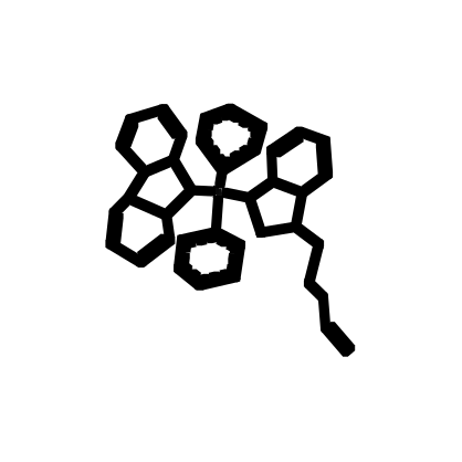 C=CCCCC1CC([Si](c2ccccc2)(c2ccccc2)C2C3C=CC=CC3C3C=CC=CC32)C2C=CC=CC12